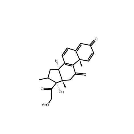 CC(=O)OCC(=O)[C@@]1(O)C(C)C[C@H]2C3=C(C(=O)C[C@@]21C)[C@@]1(C)C=CC(=O)C=C1C=C3